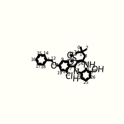 CC1(C)CC2=C(C(c3ccc(OCc4ccccc4)cc3Cl)Nc3cccc(O)c3N2)S(=O)(=O)C1